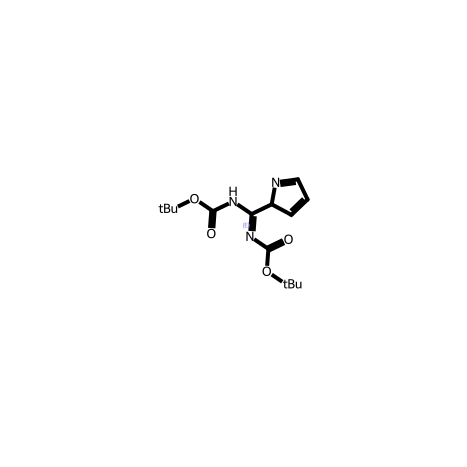 CC(C)(C)OC(=O)/N=C(/NC(=O)OC(C)(C)C)C1C=CC=N1